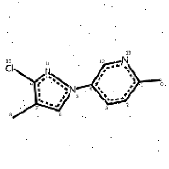 Cc1ccc(-n2cc(C)c(Cl)n2)cn1